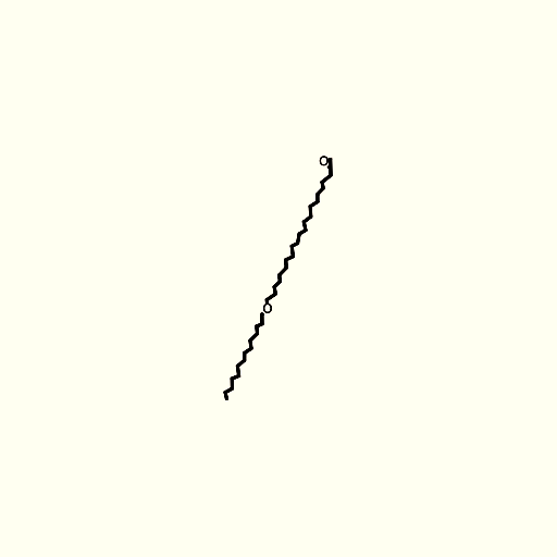 CCCCCCCCCCCCCCOCCCCCCCCCCCCCCCCCCCCC1CO1